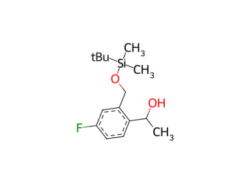 CC(O)c1ccc(F)cc1CO[Si](C)(C)C(C)(C)C